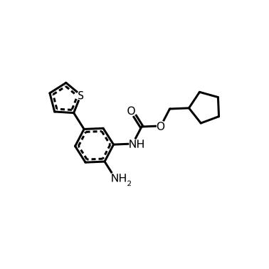 Nc1ccc(-c2cccs2)cc1NC(=O)OCC1CCCC1